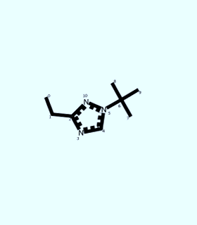 CCc1ncn(C(C)(C)C)n1